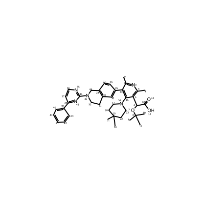 Cc1nc(C)c(C(OC(C)(C)C)C(=O)O)c(N2CCC(C)(C)CC2)c1-c1ccc2c(c1)CCN(c1nccc(-c3ccccc3)n1)C2